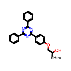 CCCCCCC(O)COc1ccc(-c2nc(-c3ccccc3)nc(-c3ccccc3)n2)cc1